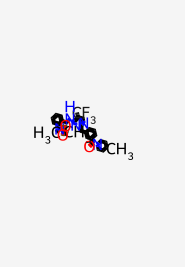 CC1CCN(C(=O)c2cccc(Cc3ncc(C(F)(F)F)c(NCc4ccccc4N(C)S(C)(=O)=O)n3)c2)CC1